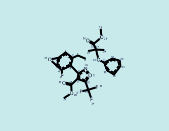 CCc1cc2c(c(F)c1-c1noc(C(F)(F)F)c1C(=O)OC)O2.COC(=O)C(C)(C)Oc1ccccc1